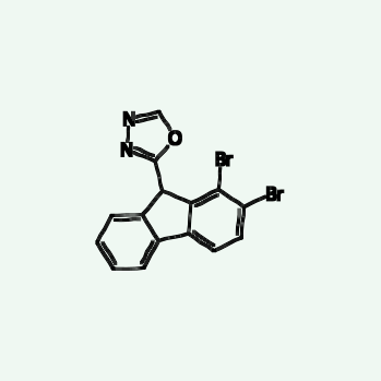 Brc1ccc2c(c1Br)C(c1nnco1)c1ccccc1-2